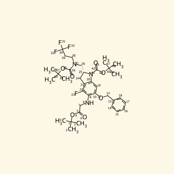 CC(C)(C)OC(=O)CNc1c(OCc2ccccc2)cc2c(c1F)C[C@H](CN(CCC(F)(F)F)C(=O)OC(C)(C)C)N2C(=O)OC(C)(C)C